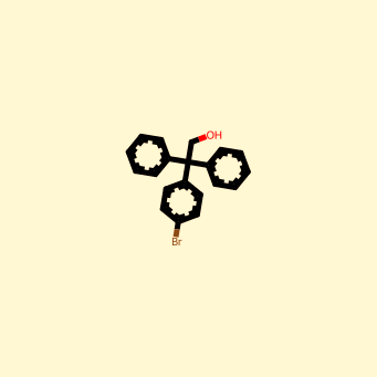 OCC(c1ccccc1)(c1ccccc1)c1ccc(Br)cc1